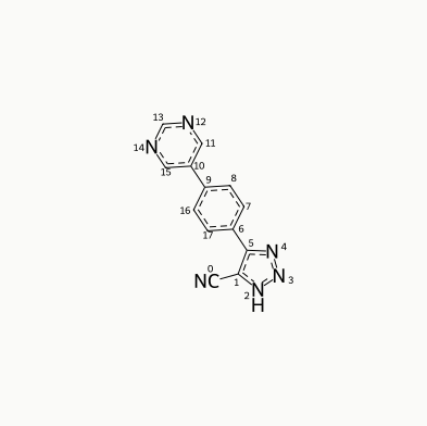 N#Cc1[nH]nnc1-c1ccc(-c2cncnc2)cc1